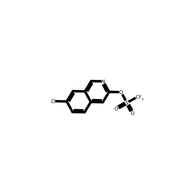 O=S(=O)(Oc1cc2ccc(Cl)cc2cn1)C(F)(F)F